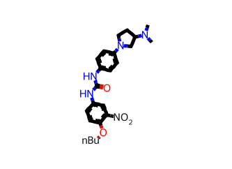 CCCCOc1ccc(NC(=O)Nc2ccc(N3CCC(N(C)C)C3)cc2)cc1[N+](=O)[O-]